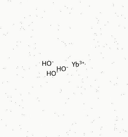 [OH-].[OH-].[OH-].[Yb+3]